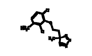 CC1(CCOc2c(Cl)ccc(C(=O)O)c2Cl)N=NN=N1